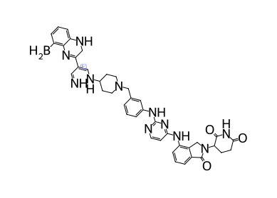 Bc1cccc2c1N=C(/C(C=N)=C/NC1CCN(Cc3cccc(Nc4nccc(Nc5cccc6c5CN(C5CCC(=O)NC5=O)C6=O)n4)c3)CC1)CN2